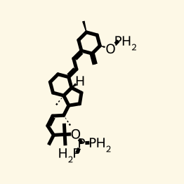 C=C1/C(=C\C=C2/CCC[C@]3(C)C([C@H](C)/C=C\C(C)C(C)(C)OP(P)P)CC[C@@H]23)C[C@@H](C)C[C@@H]1OP